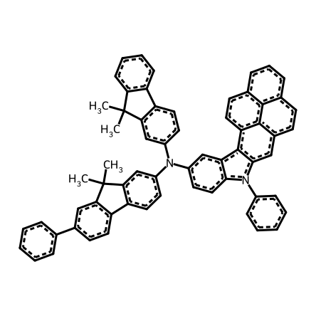 CC1(C)c2ccccc2-c2ccc(N(c3ccc4c(c3)C(C)(C)c3cc(-c5ccccc5)ccc3-4)c3ccc4c(c3)c3c5ccc6cccc7ccc(cc3n4-c3ccccc3)c5c76)cc21